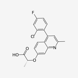 Cc1cc(-c2ccc(F)cc2Cl)c2ccc(O[C@H](C)C(=O)O)cc2n1